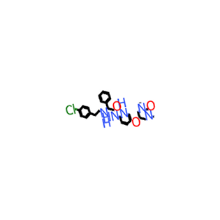 CN1CC(OC2=CNC(NC(=O)C(NCCc3ccc(Cl)cc3)c3ccccc3)C=C2)CN(C)C1=O